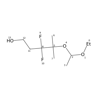 CCOC(C)OC(C)(C)C(F)(F)CCO